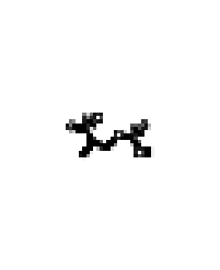 CC(CO[PH](=O)O)[SH](=O)=O